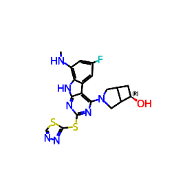 CNc1cc(F)cc2c1[nH]c1nc(Sc3nncs3)nc(N3CC4C[C@@H](O)C4C3)c12